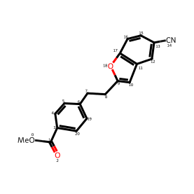 COC(=O)c1ccc(CCc2cc3cc(C#N)ccc3o2)cc1